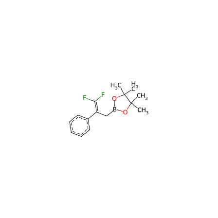 CC1(C)OB(CC(=C(F)F)c2ccccc2)OC1(C)C